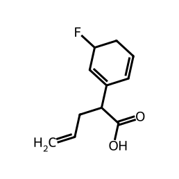 C=CCC(C(=O)O)C1=CC(F)CC=C1